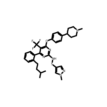 CC(C)CCc1ccccc1-c1nc(NSc2cnn(C)c2)nc(Oc2ccc(C3CCN(C)CC3)cc2)c1C(F)(F)F